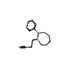 N#CCCN1CCCCC[C@@H]1c1cccnc1